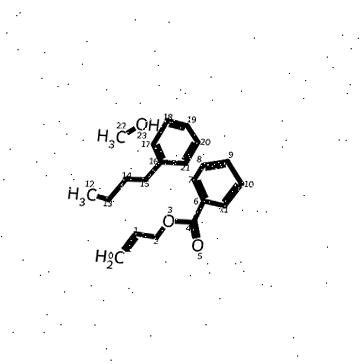 C=CCOC(=O)c1ccccc1.CCCCc1ccccc1.CO